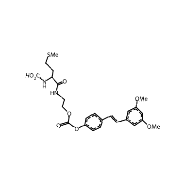 COc1cc(C=Cc2ccc(OC(=O)OCCNC(=O)C(CCSC)NC(=O)O)cc2)cc(OC)c1